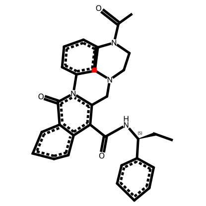 CC[C@H](NC(=O)c1c(CN2CCN(C(C)=O)CC2)n(-c2ccccc2)c(=O)c2ccccc12)c1ccccc1